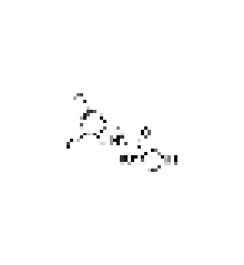 O=C(NCc1cc(Cl)cc(Cl)c1F)C1(O)CCNC1